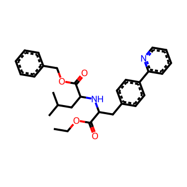 CCOC(=O)C(Cc1ccc(-c2ccccn2)cc1)NC(CC(C)C)C(=O)OCc1ccccc1